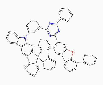 c1ccc(-c2nc(-c3cccc(-n4c5ccccc5c5cc6c(cc54)C4(c5ccccc5-c5ccccc54)c4ccccc4-6)c3)nc(-c3ccc4c(c3)oc3c(-c5ccccc5)cccc34)n2)cc1